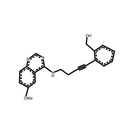 COc1ccc2ncnc(NCCC#Cc3ccccc3CO)c2c1